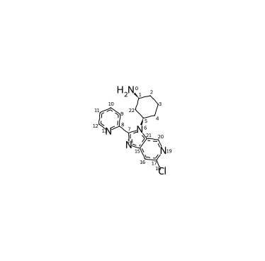 N[C@H]1CCC[C@@H](n2c(-c3ccccn3)nc3cc(Cl)ncc32)C1